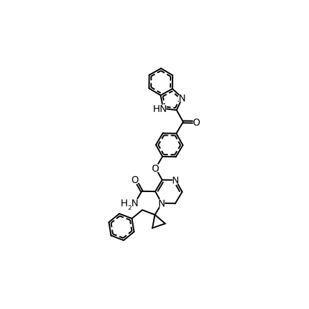 NC(=O)C1=C(Oc2ccc(C(=O)c3nc4ccccc4[nH]3)cc2)N=CCN1C1(Cc2ccccc2)CC1